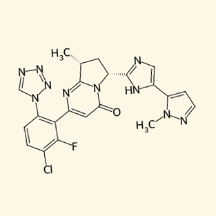 C[C@@H]1C[C@H](c2ncc(-c3ccnn3C)[nH]2)n2c1nc(-c1c(-n3cnnn3)ccc(Cl)c1F)cc2=O